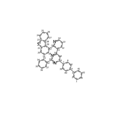 c1ccc(-c2ccc(-c3cc(-c4cccnc4-c4cccc5sc6ccccc6c45)nc(-c4ccccc4)n3)cc2)cc1